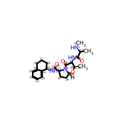 CNC(C)C(=O)N[C@@H]1C(=O)N2C(C(=O)N[C@@H]3CCCc4ccccc43)CC[C@@H]2O[C@@H]1C